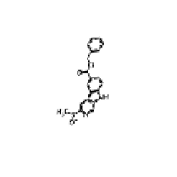 C[S+]([O-])c1cc2c(cn1)[nH]c1ccc(C(=O)OCc3ccccc3)cc12